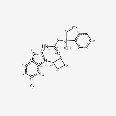 O=C(CC(O)(CF)c1ccccc1)Nc1nc2ccc(Cl)nc2n1C1CCC1